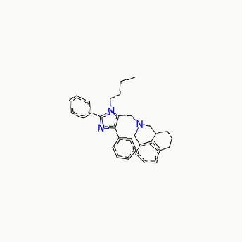 CCCCn1c(-c2ccccc2)nc(-c2ccccc2)c1CN(Cc1ccccc1)CC1CCCCC1